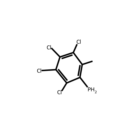 Cc1c(P)c(Cl)c(Cl)c(Cl)c1Cl